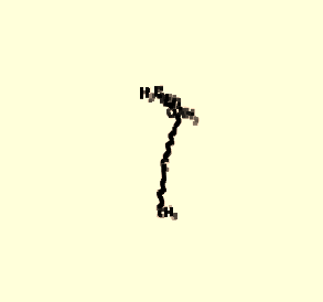 CCCCCCCCCCCCCCCCCC(N)OC(=O)CNCP